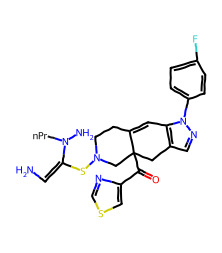 CCCN(N)/C(=C\N)SN1CCC2=Cc3c(cnn3-c3ccc(F)cc3)CC2(C(=O)c2cscn2)C1